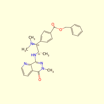 C[C@H](Nc1nn(C)c(=O)c2cccnc12)[C@H](c1ccc(C(=O)OCc2ccccc2)cc1)N(C)C